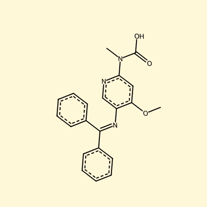 COc1cc(N(C)C(=O)O)ncc1N=C(c1ccccc1)c1ccccc1